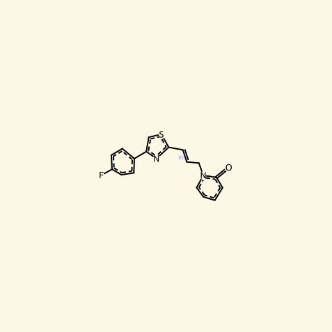 O=c1ccccn1C/C=C/c1nc(-c2ccc(F)cc2)cs1